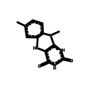 Cc1ccc2c(c1)Nc1c([nH]c(=O)[nH]c1=O)N2C